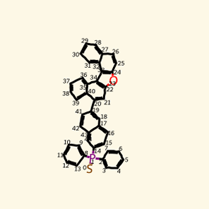 S=P(c1ccccc1)(c1ccccc1)c1ccc2cc(-c3cc4oc5ccc6ccccc6c5c4c4ccccc34)ccc2c1